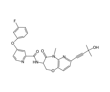 CN1C(=O)C(NC(=O)c2cc(Oc3cccc(F)c3)ccn2)COc2ccc(C#CC(C)(C)O)nc21